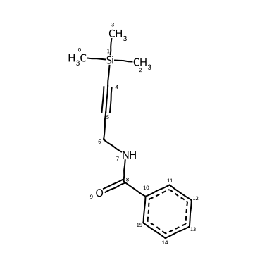 C[Si](C)(C)C#CCNC(=O)c1ccccc1